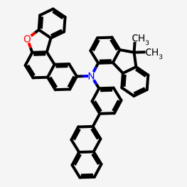 CC1(C)c2ccccc2-c2c(N(c3cccc(-c4ccc5ccccc5c4)c3)c3ccc4ccc5oc6ccccc6c5c4c3)cccc21